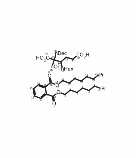 CC(C)CCCCCCOC(=O)c1ccccc1C(=O)OCCCCCCC(C)C.CCCCCCCCCCC(CCCCCCCC)(C(=O)O)C(CCCCCC)CCC(=O)O